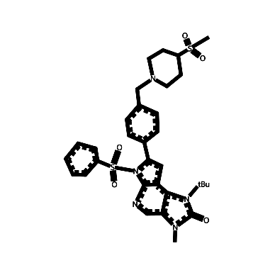 Cn1c(=O)n(C(C)(C)C)c2c3cc(-c4ccc(CN5CCC(S(C)(=O)=O)CC5)cc4)n(S(=O)(=O)c4ccccc4)c3ncc21